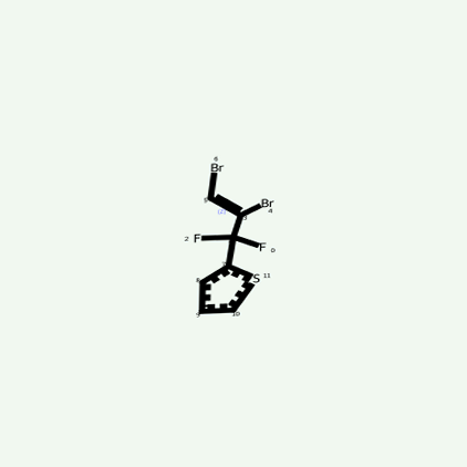 FC(F)(/C(Br)=C/Br)c1cccs1